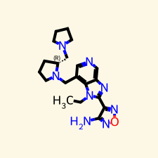 CCn1c(-c2nonc2N)nc2cncc(CN3CCC[C@@H]3CN3CCCC3)c21